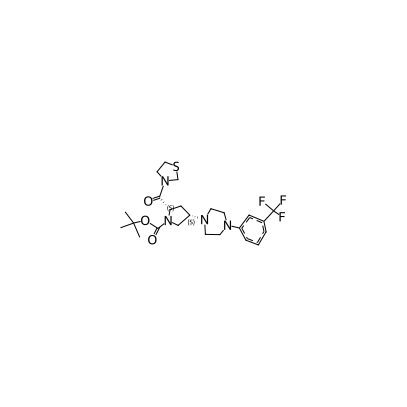 CC(C)(C)OC(=O)N1C[C@@H](N2CCN(c3cccc(C(F)(F)F)c3)CC2)C[C@H]1C(=O)N1CCSC1